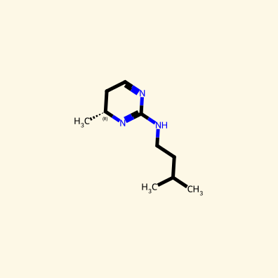 CC(C)CCNC1=N[C@H](C)CC=N1